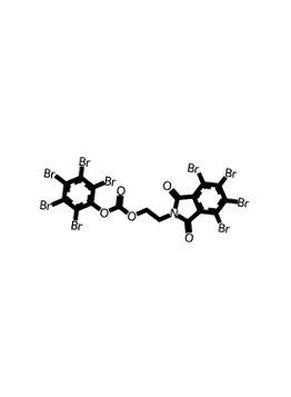 O=C(OCCN1C(=O)c2c(Br)c(Br)c(Br)c(Br)c2C1=O)Oc1c(Br)c(Br)c(Br)c(Br)c1Br